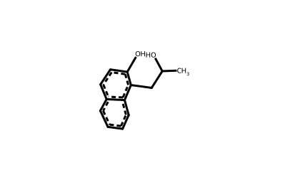 CC(O)Cc1c(O)ccc2ccccc12